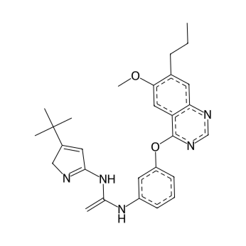 C=C(NC1=NCC(C(C)(C)C)=C1)Nc1cccc(Oc2ncnc3cc(CCC)c(OC)cc23)c1